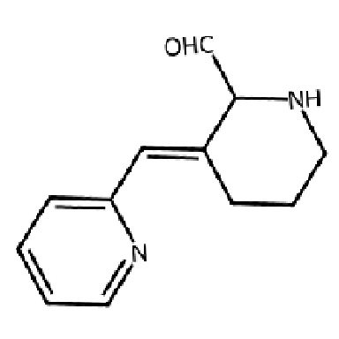 O=CC1NCCC/C1=C\c1ccccn1